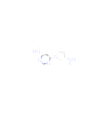 CNc1cc(N2CC[C@@H](NC)C2)ncn1